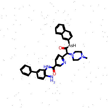 CN1CCN(C(C(=O)[AsH]c2ccc3ccccc3c2)c2ccc(C(=O)Nc3cc(-c4ccccc4)ccc3N)cn2)CC1